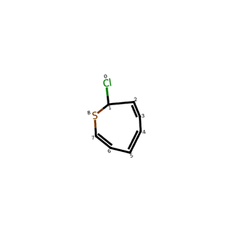 ClC1C=CC=CC=CS1